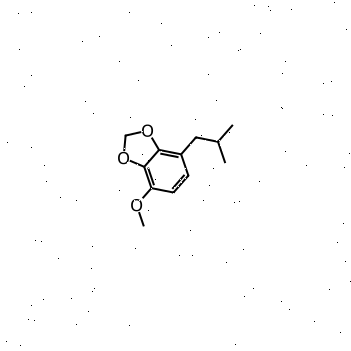 COc1ccc(CC(C)C)c2c1OCO2